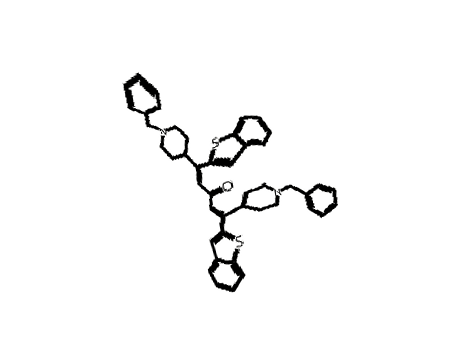 O=C(C=C(c1cc2ccccc2s1)C1CCN(Cc2ccccc2)CC1)C=C(c1cc2ccccc2s1)C1CCN(Cc2ccccc2)CC1